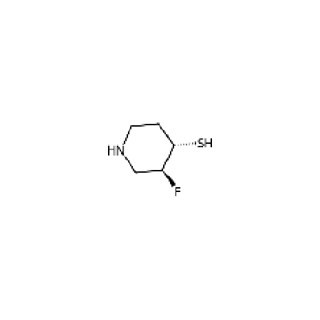 F[C@H]1CNCC[C@@H]1S